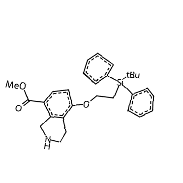 COC(=O)c1ccc(OCC[Si](c2ccccc2)(c2ccccc2)C(C)(C)C)c2c1CNCC2